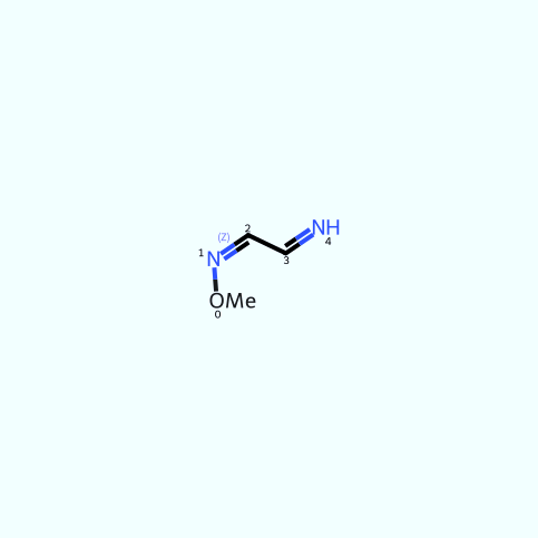 CO/N=C\C=N